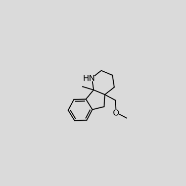 COCC12CCCNC1(C)c1ccccc1C2